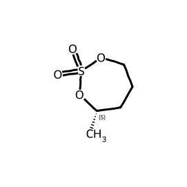 C[C@H]1CCCOS(=O)(=O)O1